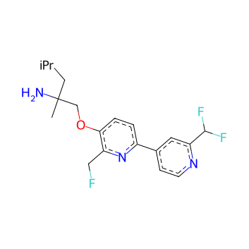 CC(C)CC(C)(N)COc1ccc(-c2ccnc(C(F)F)c2)nc1CF